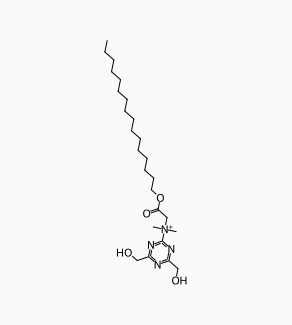 CCCCCCCCCCCCCCCCOC(=O)C[N+](C)(C)c1nc(CO)nc(CO)n1